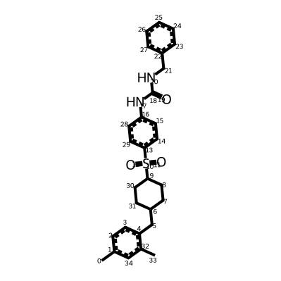 Cc1ccc(CC2CCC(S(=O)(=O)c3ccc(NC(=O)NCc4ccccc4)cc3)CC2)c(C)c1